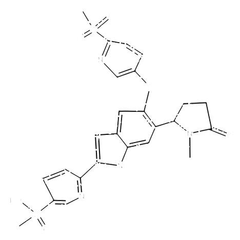 CN1C(=O)CCC1c1cc2[nH]c(-c3ccc(P(C)(=O)O)cn3)cc2cc1Oc1ccc(S(C)(=O)=O)nc1